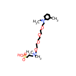 CCN(CCOCCOCCOCCOC[N+](C)(C)CCCS(=O)(=O)O)c1cccc(C)c1